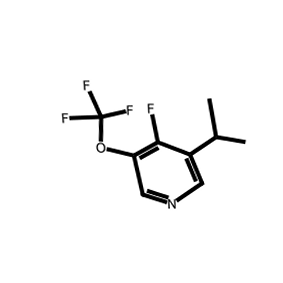 CC(C)c1cncc(OC(F)(F)F)c1F